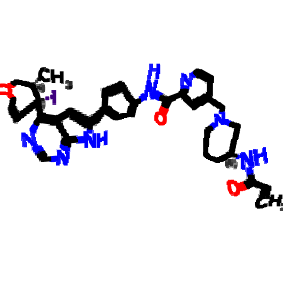 C=CC(=O)N[C@@H]1CCCN(Cc2ccnc(C(=O)Nc3ccc(-c4cc5c([C@@]6(I)CCOC[C@@H]6C)ncnc5[nH]4)cc3)c2)C1